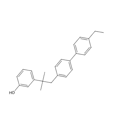 CCc1ccc(-c2ccc(CC(C)(C)c3cccc(O)c3)cc2)cc1